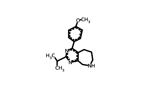 COc1ccc(-c2nc(C(C)C)nc3c2CCCNC3)cc1